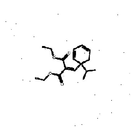 CCOC(=O)C(=CC1(C(C)C)C=CC=CC1)C(=O)OCC